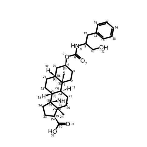 C[C@]12CC[C@H](OC(=O)NC(CO)Cc3ccccc3)C[C@H]1CC[C@@H]1[C@@H]2CC[C@]2(C)[C@@H](C(=O)O)CC[C@]12N